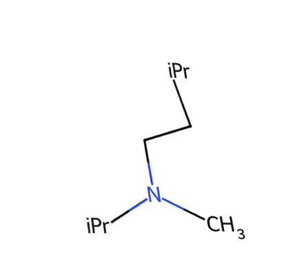 CC(C)CCN(C)C(C)C